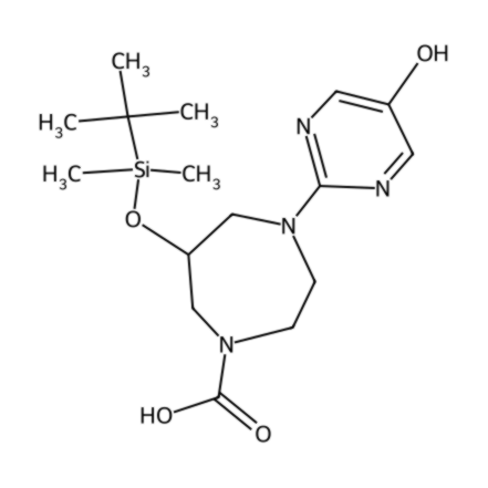 CC(C)(C)[Si](C)(C)OC1CN(C(=O)O)CCN(c2ncc(O)cn2)C1